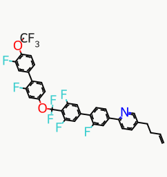 C=CCCc1ccc(-c2ccc(-c3cc(F)c(C(F)(F)Oc4ccc(-c5ccc(OC(F)(F)F)c(F)c5)c(F)c4)c(F)c3)c(F)c2)nc1